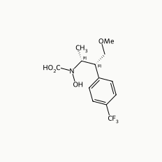 COC[C@H](c1ccc(C(F)(F)F)cc1)[C@@H](C)N(O)C(=O)O